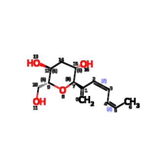 C=C(/C=C\C=C/C)[C@H]1O[C@H](CO)[C@@H](O)C[C@@H]1O